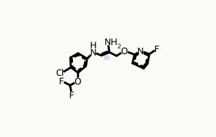 N/C(=C\Nc1ccc(Cl)c(OC(F)F)c1)COc1cccc(F)n1